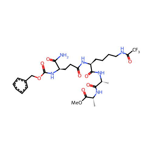 COC(=O)[C@@H](C)NC(=O)[C@@H](C)NC(=O)[C@H](CCCCNC(=O)C(F)(F)F)NC(=O)CC[C@@H](NC(=O)OCc1ccccc1)C(N)=O